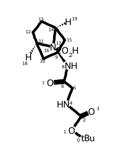 CC(C)(C)OC(=O)NCC(=O)N[C@H]1C[C@H]2CC[C@@H](C1)N2C(=O)O